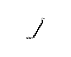 [CH2]CC#CCCCCCCCCCCCCCCCCCCCCCCCC[CH2]